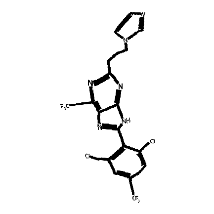 FC(F)(F)c1cc(Cl)c(-c2nc3c(C(F)(F)F)nc(CCn4ccnc4)nc3[nH]2)c(Cl)c1